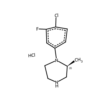 C[C@H]1CNCCN1c1ccc(Cl)c(F)c1.Cl